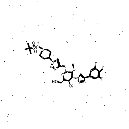 CO[C@@H]1[C@@H](n2cc(-c3cc(F)c(F)c(F)c3)nn2)[C@@H](O)[C@@H](CO)O[C@@H]1Cc1cn(C2CCN(NS(=O)(=O)C(C)(C)C)CC2)nn1